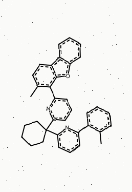 Cc1ccccc1-c1cccc(C2(c3cccc(-c4c(C)ccc5c4oc4ccccc45)n3)CCCCC2)n1